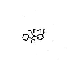 CCCc1oc2ccccc2c(=O)c1-c1cccc(F)c1